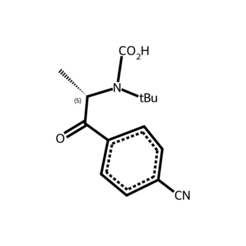 C[C@@H](C(=O)c1ccc(C#N)cc1)N(C(=O)O)C(C)(C)C